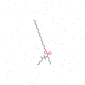 CCCCCCCCCCCCCCCCOC(=O)C(CCCC)C(C)(C)C(C)CCCC